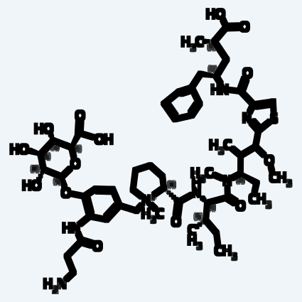 CC[C@H](C(C)C(OC)c1nc(C(=O)N[C@@H](Cc2ccccc2)C[C@H](C)C(=O)O)cs1)N(C)C(=O)[C@@H](NC(=O)[C@H]1CCCC[N+]1(C)Cc1ccc(O[C@@H]2O[C@H](C(=O)O)[C@@H](O)[C@H](O)[C@H]2O)c(NC(=O)CCN)c1)[C@@H](C)CC